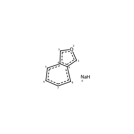 [NaH].[c]1occ2ccccc12